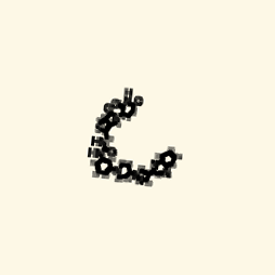 O=C1CCC(N2Cc3c(csc3CNC(=O)Nc3cccc(N4CCC(n5cc(-c6cnc7ccccc7n6)cn5)CC4)c3)C2=O)C(=O)N1